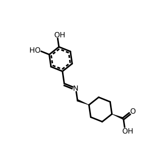 O=C(O)[C@H]1CC[C@@H](CN=Cc2ccc(O)c(O)c2)CC1